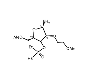 B[C@@H]1O[C@H](COC)C(OP(=O)(S)CC)[C@@H]1OCCOC